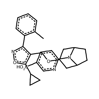 Cc1ccccc1-c1noc(C2CC2)c1COC1CC2CCC(C1)N2c1ccc(C(=O)O)cn1